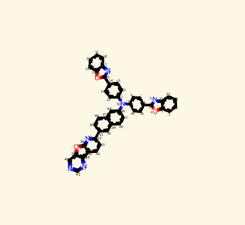 c1ccc2oc(-c3ccc(N(c4ccc(-c5nc6ccccc6o5)cc4)c4ccc5cc(-c6ccc7c(n6)oc6cncnc67)ccc5c4)cc3)nc2c1